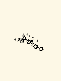 Cc1cc(N2CCc3c(c(C)nn3CC34CCC(N5CCCCC5)(CC3)CO4)C2)c2cnn(C)c2n1